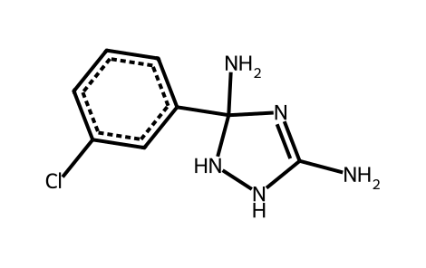 NC1=NC(N)(c2cccc(Cl)c2)NN1